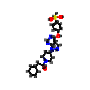 CS(=O)(=O)c1ccc(Oc2ncnc3c2cnn3C2CCN(C(=O)CC3CCCCC3)CC2)cc1